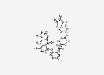 CCN(C(=O)c1cc(F)ccc1Oc1cncnc1N1CC2(CCN(CC3CCC4(CC3)CC(=O)C(=O)N4)CC2)C1)C(C)C